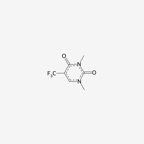 Cn1cc(C(F)(F)[18F])c(=O)n(C)c1=O